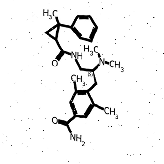 Cc1cc(C(N)=O)cc(C)c1C[C@@H](CNC(=O)C1CC1(C)c1ccccc1)N(C)C